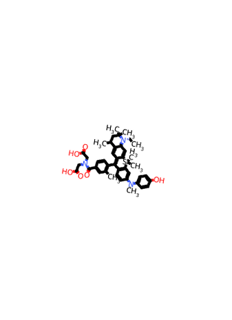 CC[N+]1=c2cc3c(cc2C(C)CC1(C)C)=C(c1ccc(C(=O)N(CC(=O)O)CC(=O)O)cc1C)c1ccc(N(C)c2ccc(O)cc2)cc1[Si]3(C)C